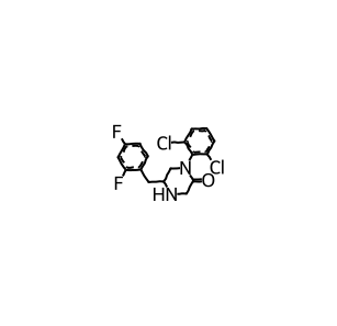 O=C1CNC(Cc2ccc(F)cc2F)CN1c1c(Cl)cccc1Cl